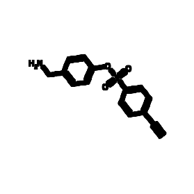 C#Cc1ccc(S(=O)(=O)Oc2ccc(CN)cc2)cc1